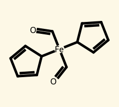 O=[CH][Fe]([CH]=O)([CH]1C=CC=C1)[CH]1C=CC=C1